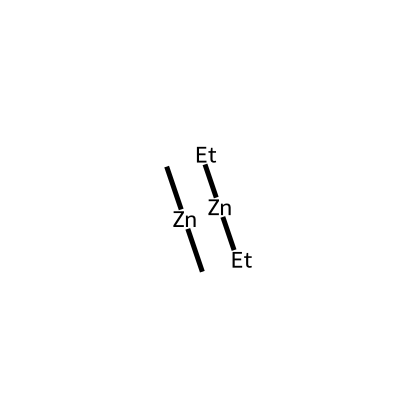 C[CH2][Zn][CH2]C.[CH3][Zn][CH3]